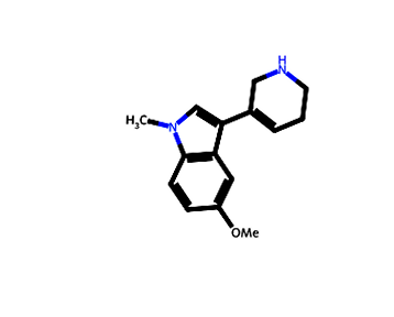 COc1ccc2c(c1)c(C1=CCCNC1)cn2C